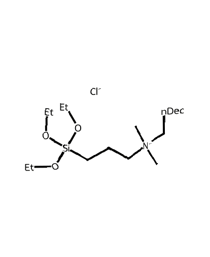 CCCCCCCCCCC[N+](C)(C)CCC[Si](OCC)(OCC)OCC.[Cl-]